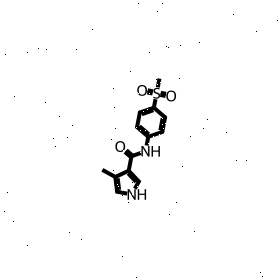 Cc1c[nH]cc1C(=O)Nc1ccc(S(C)(=O)=O)cc1